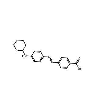 O=C(O)c1ccc(N=Nc2ccc(NC3CCCCO3)cc2)cc1